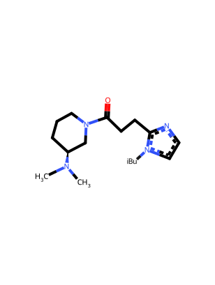 CCC(C)n1ccnc1CCC(=O)N1CCC[C@H](N(C)C)C1